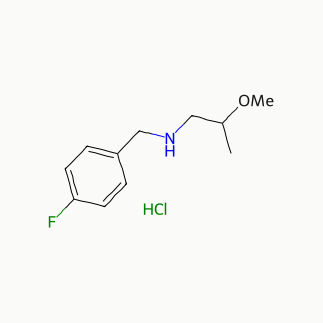 COC(C)CNCc1ccc(F)cc1.Cl